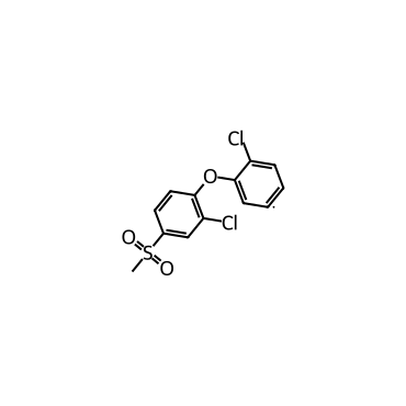 CS(=O)(=O)c1ccc(Oc2c[c]ccc2Cl)c(Cl)c1